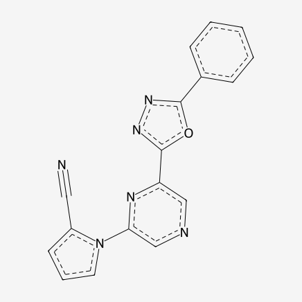 N#Cc1cccn1-c1cncc(-c2nnc(-c3ccccc3)o2)n1